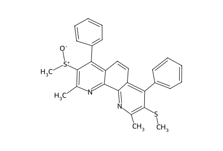 CSc1c(C)nc2c(ccc3c(-c4ccccc4)c([S+](C)[O-])c(C)nc32)c1-c1ccccc1